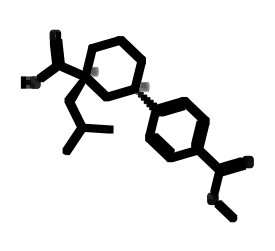 COC(=O)c1ccc([C@H]2CCC[C@@](CC(C)C)(C(=O)O)C2)cc1